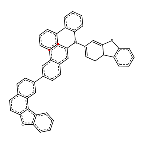 C1=C2Sc3ccccc3C2CC=C1N(c1ccc2cc(-c3ccc4ccc5oc6ccccc6c5c4c3)ccc2c1)c1ccccc1-c1ccccc1